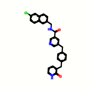 O=C(NCc1ccc2cc(Cl)ccc2c1)c1cncc(Cc2ccc(Cc3ccc[nH]c3=O)cc2)c1